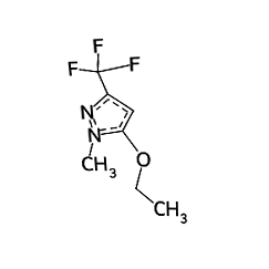 CCOc1cc(C(F)(F)F)nn1C